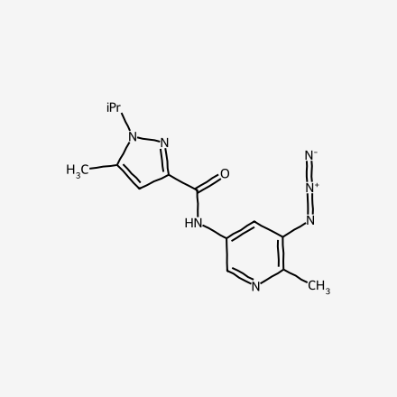 Cc1ncc(NC(=O)c2cc(C)n(C(C)C)n2)cc1N=[N+]=[N-]